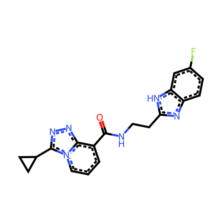 O=C(NCCc1nc2ccc(F)cc2[nH]1)c1cccn2c(C3CC3)nnc12